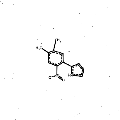 Cc1cc(-c2ccc[nH]2)c([N+](=O)[O-])cc1C